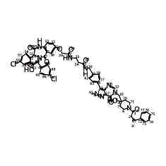 C[C@H](CC(=O)N1CCC(O)(Cn2cnc3c(-c4ccc(CNC(=O)CCNC(=O)COc5ccc6c(c5)C(=O)N([C@H](C(=O)O)c5ccc(Cl)cc5)[C@@H](c5ccc(Cl)cc5)C(=O)N6)cc4)n(C)nc3c2=O)CC1)c1ccccc1